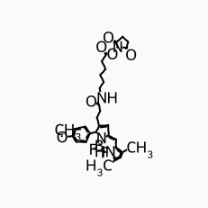 COc1ccc(C2C(CCC(=O)NCCCCCC(=O)ON3C(=O)CCC3=O)=C/C(=C/c3[nH]c(C)cc3C)N2B(F)F)cc1